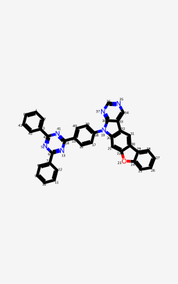 c1ccc(-c2nc(-c3ccccc3)nc(-c3ccc(-n4c5cc6oc7ccccc7c6cc5c5cncnc54)cc3)n2)cc1